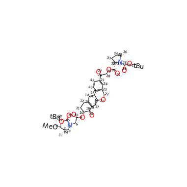 COC[C@@H](C)CN(CC(=O)OC1CCc2cc3c(cc2C1=O)OCc1cc(C(=O)COC(=O)[C@@H]2CC[C@H](C)N2C(=O)OC(C)(C)C)ccc1-3)C(=O)OC(C)(C)C